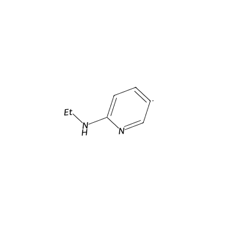 CCNc1cc[c]cn1